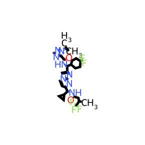 CC(C)n1ncnc1C(=O)N[C@H](c1cn2ccc(C(NC(=O)CC(C)C(F)(F)F)C3CC3)nc2n1)C1CCC(F)(F)CC1